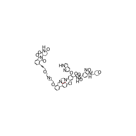 O=C1CCC(N2C(=O)c3cccc(C#CCOCCN4CC(COc5cccc(-c6ccc(Cl)cc6)c5CN5CCN(c6ccc(C(=O)NS(=O)(=O)c7ccc(NCC8CCOCC8)c([N+](=O)[O-])c7)c(Oc7cnc8[nH]ccc8c7)c6)CC5)C4)c3C2=O)C(=O)N1